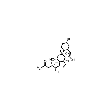 C[C@H](CCC(N)=O)[C@H]1CC[C@H]2C3[C@H](O)CC4C[C@H](O)CC[C@]4(C)[C@H]3C[C@H](O)[C@]12C